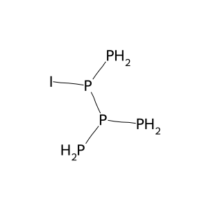 PP(P)P(P)I